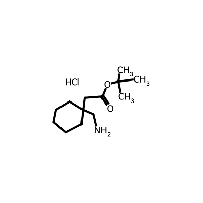 CC(C)(C)OC(=O)CC1(CN)CCCCC1.Cl